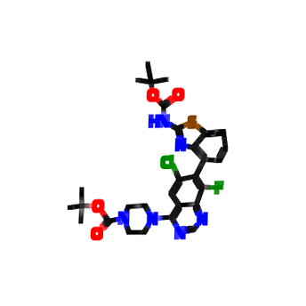 CC(C)(C)OC(=O)Nc1nc2c(-c3c(Cl)cc4c(N5CCN(C(=O)OC(C)(C)C)CC5)ncnc4c3F)cccc2s1